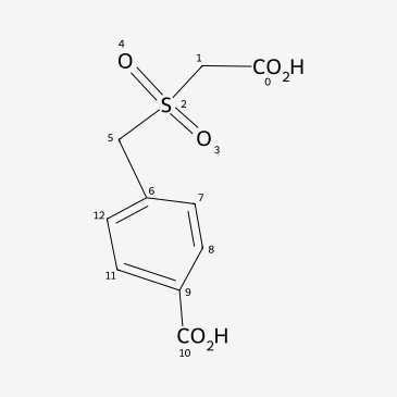 O=C(O)CS(=O)(=O)Cc1ccc(C(=O)O)cc1